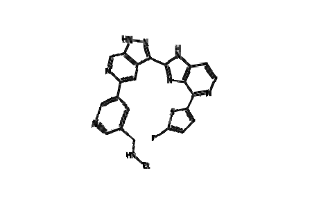 CCNCc1cncc(-c2cc3c(-c4nc5c(-c6ccc(F)s6)nccc5[nH]4)n[nH]c3cn2)c1